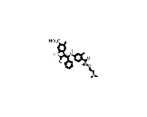 Cc1cc2c(cc1C(=O)O)NC(=O)/C2=C(/Nc1ccc(C(=O)NOCCN(C)C)c(C)c1)c1ccccc1